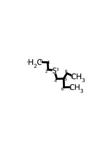 [CH2]CCSCC(CC)CC